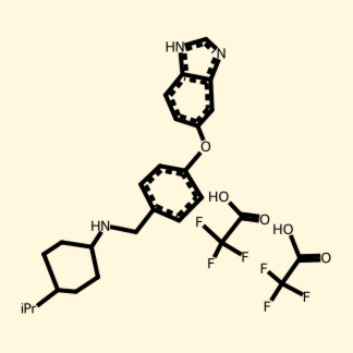 CC(C)C1CCC(NCc2ccc(Oc3ccc4[nH]cnc4c3)cc2)CC1.O=C(O)C(F)(F)F.O=C(O)C(F)(F)F